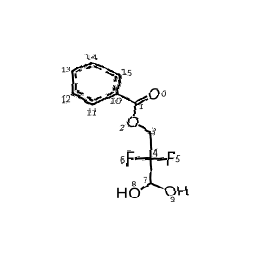 O=C(OCC(F)(F)C(O)O)c1ccccc1